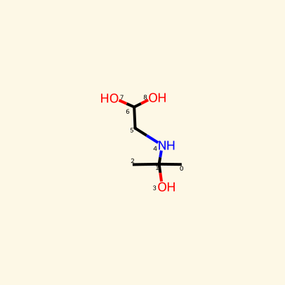 CC(C)(O)NCC(O)O